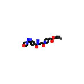 CCOC(=O)CC1CCN(C(=O)CCNC(=O)c2ccc(C(=N)N3CCOCC3)cc2)CC1